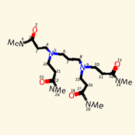 CNC(=O)CCN(CCCN(CCC(=O)NC)CCC(=O)NC)CCC(=O)NC